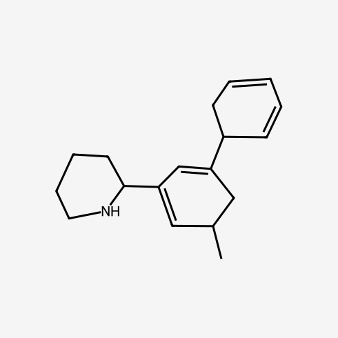 CC1C=C(C2CCCCN2)C=C(C2C=CC=CC2)C1